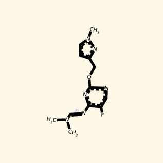 CN(C)/C=N/c1nc(OCc2ccn(C)n2)ncc1F